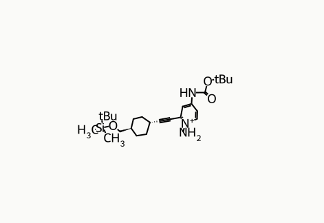 CC(C)(C)OC(=O)Nc1cc[n+](N)c(C#C[C@H]2CC[C@H](CO[Si](C)(C)C(C)(C)C)CC2)c1